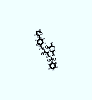 CC(C)C(=O)N1C(C)CN(S(=O)(=O)c2ccccc2)CC1C(=O)NCc1ccc(-c2ccco2)cc1